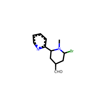 CN1C(Br)CC(C=O)CC1c1ccccn1